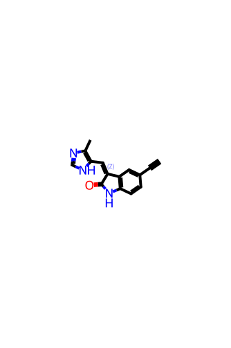 C#Cc1ccc2c(c1)/C(=C/c1[nH]cnc1C)C(=O)N2